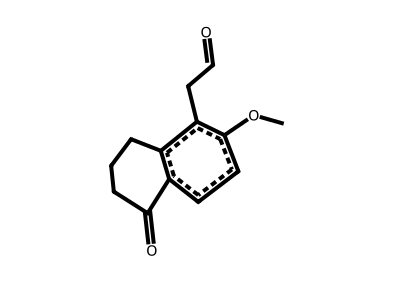 COc1ccc2c(c1CC=O)CCCC2=O